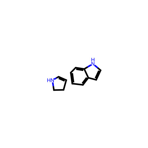 C1=CNCC1.c1ccc2[nH]ccc2c1